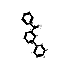 N=C(c1ccccc1)c1cccc(-c2ccccc2)c1